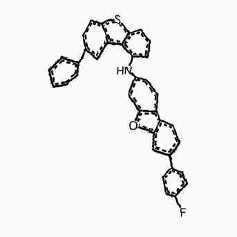 Fc1ccc(-c2ccc3c(c2)oc2cc(Nc4cccc5sc6ccc(-c7ccccc7)cc6c45)ccc23)cc1